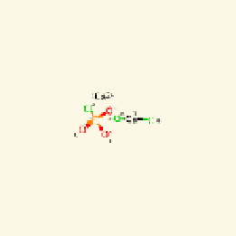 O=P([O-])([O-])Cl.[Ca+2].[Cl][Ca][Cl]